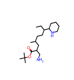 CCC(CCC(C)CC(CN)C(=O)OC(C)(C)C)C1CCCCN1